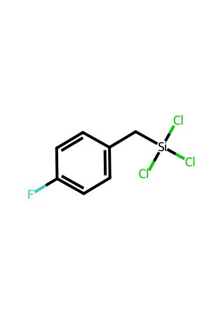 Fc1ccc(C[Si](Cl)(Cl)Cl)cc1